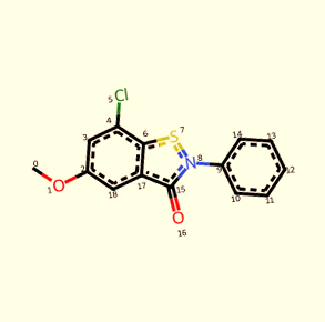 COc1cc(Cl)c2sn(-c3ccccc3)c(=O)c2c1